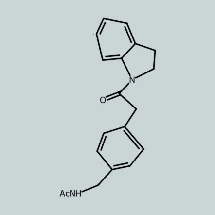 CC(=O)NCc1ccc(CC(=O)N2CCc3cc[c]cc32)cc1